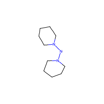 C1CCN([N]N2CCCCC2)CC1